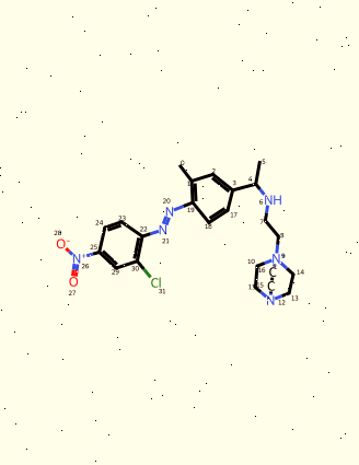 Cc1cc(C(C)NCC[N+]23CCN(CC2)CC3)ccc1N=Nc1ccc([N+](=O)[O-])cc1Cl